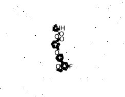 O=C(OC(=O)[C@@H]1CCCN1)c1cccc(COc2ccc(-c3cc(F)cc4ccoc34)cc2)c1